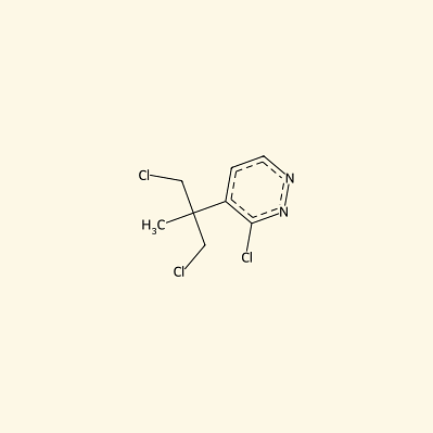 CC(CCl)(CCl)c1ccnnc1Cl